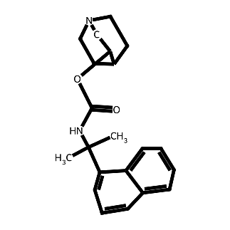 CC(C)(NC(=O)OC1CN2CCC1CC2)c1cccc2ccccc12